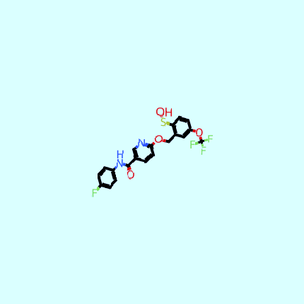 O=C(Nc1ccc(F)cc1)c1ccc(OCc2cc(OC(F)(F)F)ccc2SO)nc1